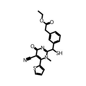 CCOC(=O)Cc1cccc(C(S)c2nc(=O)c(C#N)c(-c3cccs3)n2C)c1